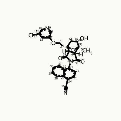 C[C@]12O[C@](CCOc3cncc(Cl)c3)(C[C@@H]1O)[C@H]1C(=O)N(c3ccc(C#N)c4ccccc34)C(=O)[C@H]12